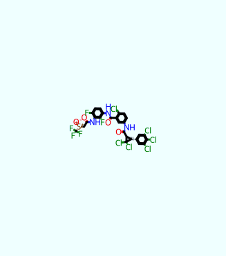 O=C(C[S+]([O-])C(F)(F)F)Nc1c(F)ccc(NC(=O)c2cc(NC(=O)C3[C@H](c4cc(Cl)c(Cl)c(Cl)c4)C3(Cl)Cl)ccc2Cl)c1F